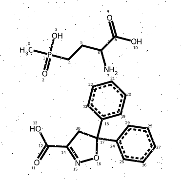 CP(=O)(O)CCC(N)C(=O)O.O=C(O)C1=NOC(c2ccccc2)(c2ccccc2)C1